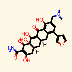 CN(C)Cc1cc(-c2ccoc2)c2c(c1O)C(=O)C1=C(O)[C@]3(O)C(=O)C(C(N)=O)=C(O)C[C@@H]3C[C@@H]1C2